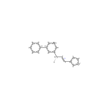 C[C@@H](/C=C/c1ccoc1)c1cncc(-c2ccccc2)c1